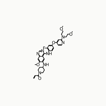 C=CC(=O)N1CCC(Nc2cc3c(Nc4ccc(Oc5ccnc(N(CCOC)CCOC)c5)cc4F)ncnc3cc2OC)CC1